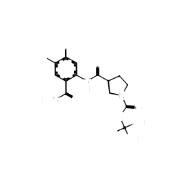 CC(C)(C)OC(=O)N1CCC(C(=O)Nc2cc(Cl)c(Br)cc2C(N)=O)C1